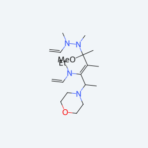 C=CN(CC)/C(=C(/C)C(C)(OC)N(C)N(C)C=C)C(C)N1CCOCC1